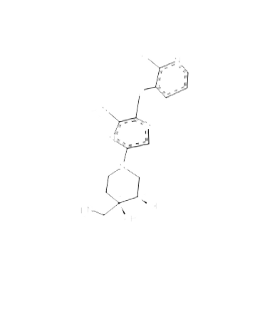 C[C@@]1(CN)CCN(c2cnc(Sc3cccnc3C(F)(F)F)c(N)n2)C[C@H]1O